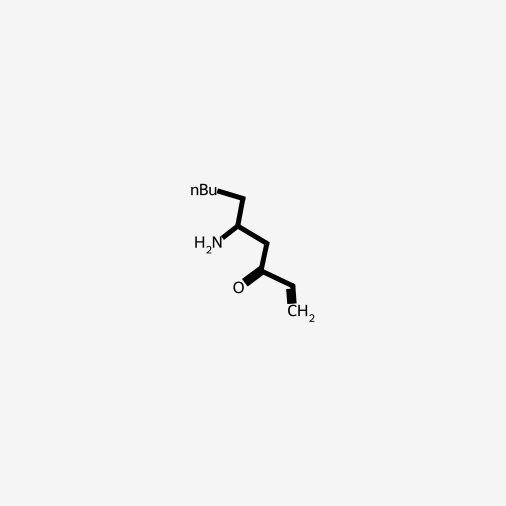 C=CC(=O)CC(N)CCCCC